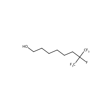 OCCCCCCC(F)(C(F)(F)F)C(F)(F)F